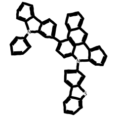 c1ccc(-n2c3ccccc3c3ccc(-c4ccc(N(c5ccc6c(c5)sc5ccccc56)c5ccccc5-c5ccc6ccccc6c5)cc4)cc32)cc1